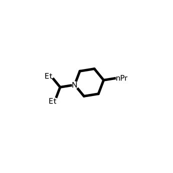 CCCC1CCN(C(CC)CC)CC1